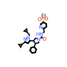 CCS(=O)(=O)c1ccc(CNC(=O)N2CC(c3ccccc3)C(c3cc(C4CC4)nn3CC3CC3)C2)nc1